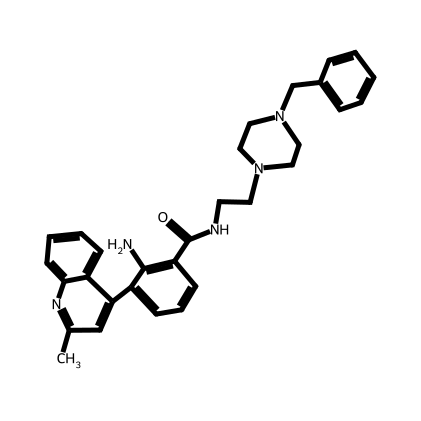 Cc1cc(-c2cccc(C(=O)NCCN3CCN(Cc4ccccc4)CC3)c2N)c2ccccc2n1